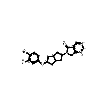 N#Cc1ccc(OC2CC3CC(N4Cc5ncncc5C4=O)CC3C2)cc1Br